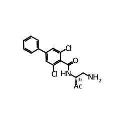 CC(=O)[C@H](CN)NC(=O)c1c(Cl)cc(-c2ccccc2)cc1Cl